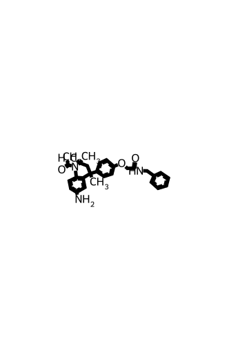 CC(=O)N1c2ccc(N)cc2C(C)(c2ccc(OCC(=O)NCc3ccccc3)cc2)CC1(C)C